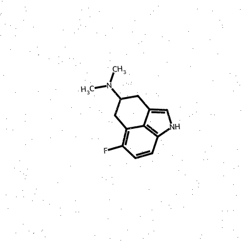 CN(C)C1Cc2c[nH]c3ccc(F)c(c23)C1